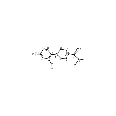 CC(C)C(=O)N1CCN(c2ccc(F)cc2F)CC1